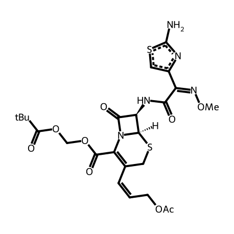 CO/N=C(\C(=O)N[C@@H]1C(=O)N2C(C(=O)OCOC(=O)C(C)(C)C)=C(/C=C\COC(C)=O)CS[C@H]12)c1csc(N)n1